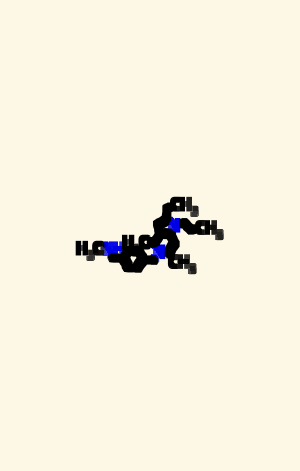 C=C1c2cc(CC)n(CCC)c2C=C(C)N1Cc1ccc(CNC)cc1